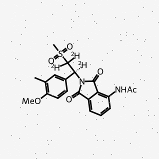 [2H]C([2H])([C@]([2H])(c1ccc(OC)c(C)c1)N1C(=O)c2cccc(NC(C)=O)c2C1=O)S(C)(=O)=O